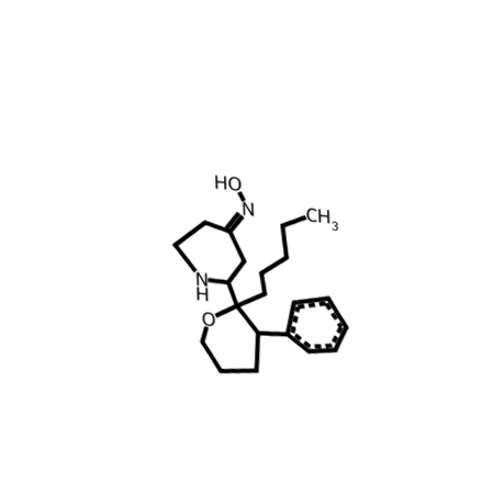 CCCCCC1(C2CC(=NO)CCN2)OCCCC1c1ccccc1